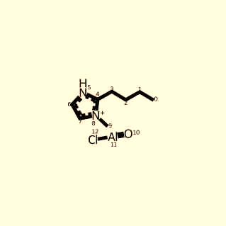 CCCCc1[nH]cc[n+]1C.[O]=[Al][Cl]